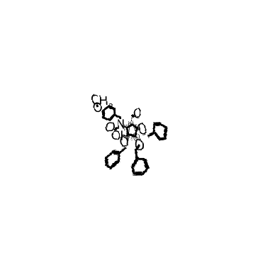 COc1ccc(CN(C(=O)O)[C@H]2[C@H](C=O)[C@@H](OCc3ccccc3)[C@H](OCc3ccccc3)[C@@H]2OCc2ccccc2)cc1